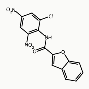 O=C(Nc1c(Cl)cc([N+](=O)[O-])cc1[N+](=O)[O-])c1cc2ccccc2o1